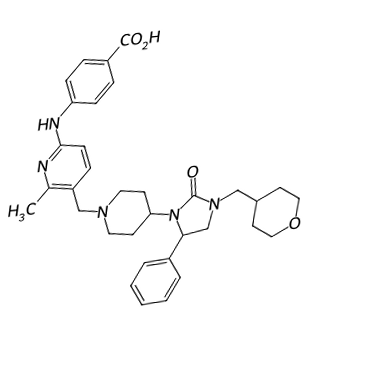 Cc1nc(Nc2ccc(C(=O)O)cc2)ccc1CN1CCC(N2C(=O)N(CC3CCOCC3)CC2c2ccccc2)CC1